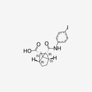 CC1(C)[C@@H]2CC[C@H]1[C@@H](C(=O)Nc1ccc(I)cc1)[C@H]2C(=O)O